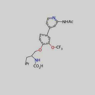 CC(=O)Nc1cc(-c2ccc(OCC(CC(C)C)NC(=O)O)c(OC(F)(F)F)c2)ccn1